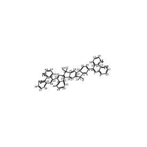 CC1(C)c2cc(-c3cc4cccnc4c4ncccc34)ccc2-c2cc3c(cc21)-c1c(cc(-c2cc4cccnc4c4ncccc24)c2ccccc12)C3(C)C